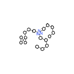 c1ccc(-c2cccc(-c3cccc(-c4cccc(-c5ccc(-c6nc(-c7ccc(-c8cccc(-c9cccc(-c%10ccc%11c(c%10)C%10(c%12ccccc%12-c%12ccccc%12%10)c%10ccccc%10-%11)c9)c8)cc7)nc(-c7cccc(-c8cccc(-c9cccc(-c%10cccc(-c%11ccccc%11)c%10)c9)c8)c7)n6)cc5)c4)c3)c2)cc1